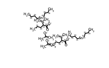 CC(C)[O-].CC(C)[O-].CCCC(C(=O)[O-])N(C)C.CCCC(C(=O)[O-])N(C)C.CCC[CH2][Sn+2][CH2]CCC.CCC[CH2][Sn+2][CH2]CCC